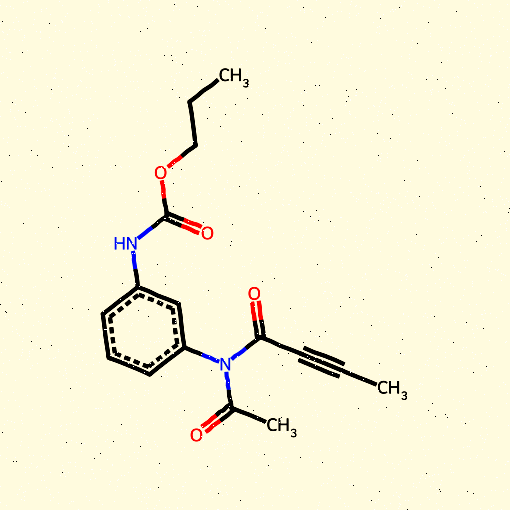 CC#CC(=O)N(C(C)=O)c1cccc(NC(=O)OCCC)c1